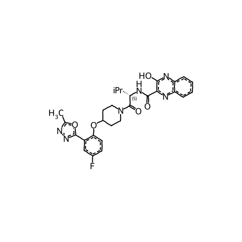 Cc1nnc(-c2cc(F)ccc2OC2CCN(C(=O)[C@@H](NC(=O)c3nc4ccccc4nc3O)C(C)C)CC2)o1